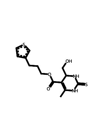 CC1=C(C(=O)OCCCc2ccsc2)C(CO)NC(=S)N1